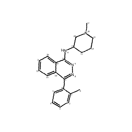 Cc1ccccc1-c1nnc(NC2CCCN(C)C2)c2ccccc12